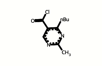 CCCCc1nc(C)ncc1C(=O)Cl